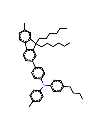 CCCCCCC1(CCCCCC)c2cc(C)ccc2-c2ccc(-c3ccc(N(c4ccc(C)cc4)c4ccc(CCCC)cc4)cc3)cc21